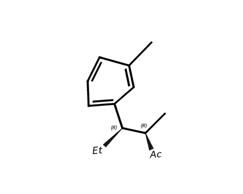 CC[C@@H](c1cccc(C)c1)[C@@H](C)C(C)=O